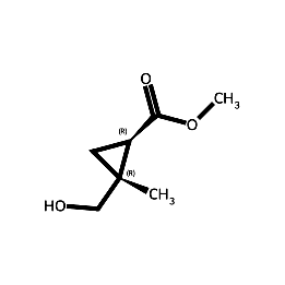 COC(=O)[C@@H]1C[C@@]1(C)CO